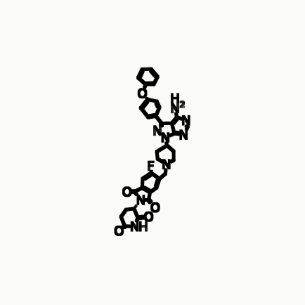 Nc1ncnc2c1c(-c1ccc(Oc3ccccc3)cc1)nn2C1CCN(Cc2cc3c(cc2F)C(=O)N([C@H]2CCC(=O)NC2=O)C3=O)CC1